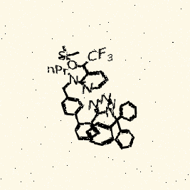 CCCN(Cc1ccc(-c2ccccc2-c2nnnn2C(c2ccccc2)(c2ccccc2)c2ccccc2)cc1)c1ncccc1C(O[Si](C)(C)C)C(F)(F)F